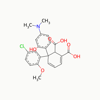 COc1ccc(Cl)cc1C1(c2ccc(N(C)C)cc2O)C=CC=C(C(=O)O)C1C(=O)O